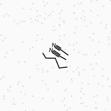 CC#N.CC#N.CCCCC